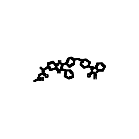 CNCC(=O)N(C)c1ccc2nc(-c3ccc(CN4CCC(n5c(=O)[nH]c6ccccc65)CC4)cc3)c(-c3ccccc3)nc2c1